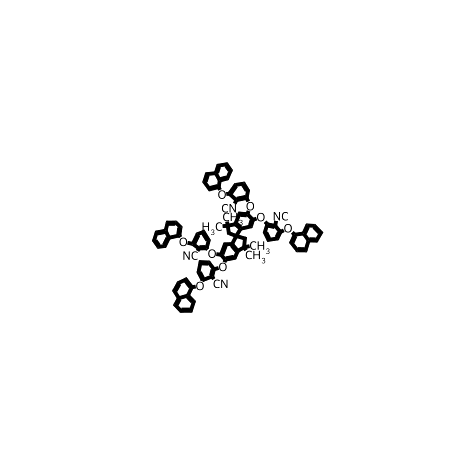 [C-]#[N+]c1c(Oc2cc3c(cc2Oc2cccc(Oc4cccc5ccccc45)c2[N+]#[C-])C2(CC(C)(C)c4cc(Oc5cccc(Oc6cccc7ccccc67)c5C#N)c(Oc5cccc(Oc6cccc7ccccc67)c5C#N)cc42)CC3(C)C)cccc1Oc1cccc2ccccc12